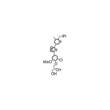 COc1cc(-c2noc(-c3cnc(CC(C)C)c(C)c3)n2)cc(Cl)c1OC[C@@H](O)CO